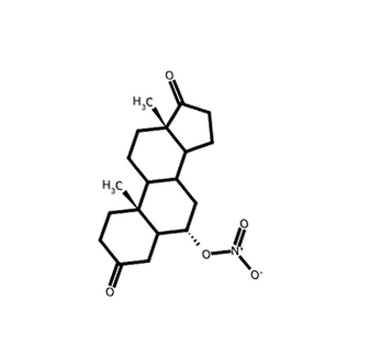 C[C@]12CCC(=O)CC1[C@@H](O[N+](=O)[O-])CC1C2CC[C@]2(C)C(=O)CCC12